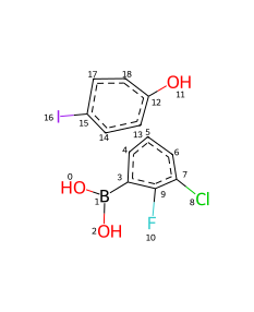 OB(O)c1cccc(Cl)c1F.Oc1ccc(I)cc1